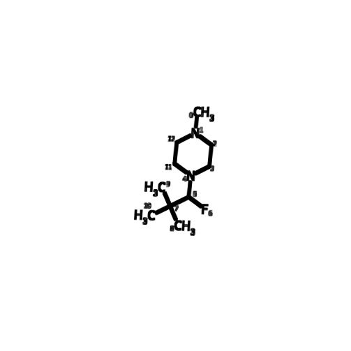 CN1CCN(C(F)C(C)(C)C)CC1